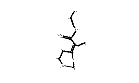 CCOC(=O)C(C)=C1CCOCC1